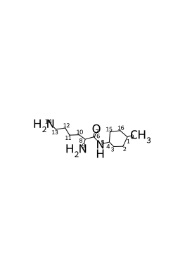 CC1CCC(NC(=O)C(N)CCCCN)CC1